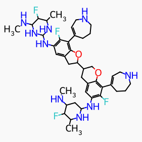 CNC1CC(Nc2cc3c(c(C4=CCNCCC4)c2F)OCC(C2Cc4cc(NC5NC(C)C(F)C(NC)N5)c(F)c(C5=CCNCCC5)c4O2)C3)NC(C)C1F